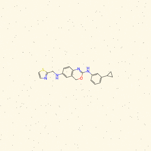 c1cc(NC2=Nc3ccc(NCc4nccs4)cc3CO2)cc(C2CC2)c1